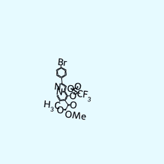 COC(=O)C(=O)c1c(C)cn2nc(-c3ccc(Br)cc3)cc2c1OS(=O)(=O)C(F)(F)F